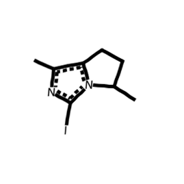 Cc1nc(I)n2c1CCC2C